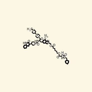 Cc1cc(CC(NC(=O)N2CCC(c3cc4ccccc4[nH]c3=O)CC2)C(=O)N2CCN(C3CCN(C)CC3)CC2)cc2cn(COC(=O)CCCCCOC(=O)C(NC(=O)OCc3ccccc3)C(C)C)nc12